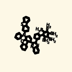 Bc1c(B)c(B)c(-c2cccc(-c3nc4ccccc4nc3-c3ccc(N(c4ccccc4)c4ccc5c(c4)sc4ccccc45)c4oc5ccccc5c34)c2)c(B)c1B